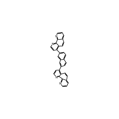 c1cnc2c(c1)ccc1c(-c3ccc4ccc(-c5ccnc6c5ccc5cccnc56)cc4c3)ccnc12